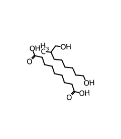 CC(CO)CCCCCCO.O=C(O)CCCCCCCC(=O)O